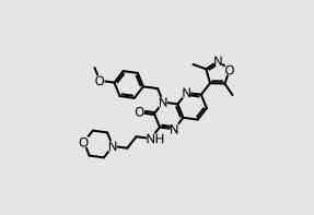 COc1ccc(Cn2c(=O)c(NCCN3CCOCC3)nc3ccc(-c4c(C)noc4C)nc32)cc1